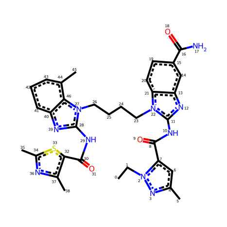 CCn1nc(C)cc1C(=O)Nc1nc2cc(C(N)=O)ccc2n1CCCCn1c(NC(=O)c2sc(C)nc2C)nc2cccc(C)c21